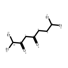 CCC(CC)CCC(=O)CC(=O)C(CC)CC